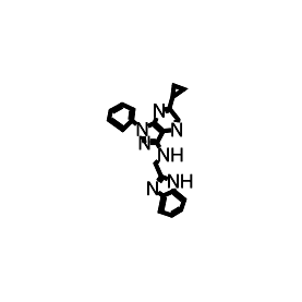 c1ccc(-n2nc(NCc3nc4ccccc4[nH]3)c3ncc(C4CC4)nc32)cc1